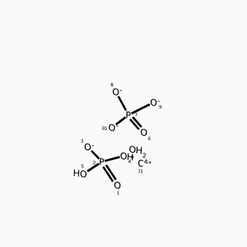 O.O=P([O-])(O)O.O=P([O-])([O-])[O-].[C+4]